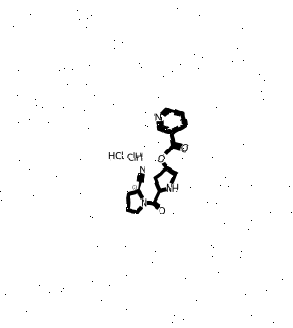 Cl.Cl.N#C[C@@H]1CCCN1C(=O)C1CC(OC(=O)c2cccnc2)CN1